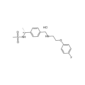 C[C@@H](NS(C)(=O)=O)c1ccc(CNCCOc2ccc(F)cc2)cc1.Cl